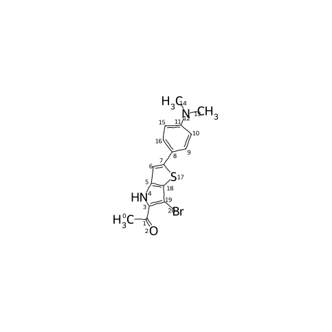 CC(=O)c1[nH]c2cc(-c3ccc(N(C)C)cc3)sc2c1Br